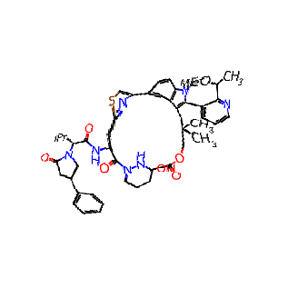 CCn1c(-c2cccnc2[C@H](C)OC)c2c3cc(ccc31)-c1csc(n1)C[C@H](NC(=O)[C@H](C(C)C)N1C[C@@H](c3ccccc3)CC1=O)C(=O)N1CCC[C@@](O)(N1)C(=O)OCC(C)(C)C2